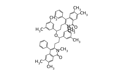 Cc1cc(C)cc(C(CCc2c(-c3ccccc3)c3cc(C)c(C)cc3c(=O)n2C)OC(CCc2c(-c3ccccc3)c3cc(C)c(C)cc3c(=O)n2C)c2cc(C)cc(C)c2)c1